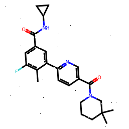 Cc1c(F)cc(C(=O)NC2CC2)cc1-c1ccc(C(=O)N2CCCC(C)(C)C2)cn1